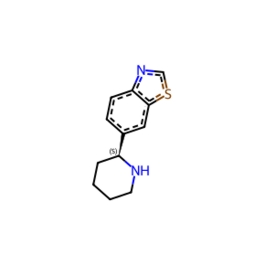 c1nc2ccc([C@@H]3CCCCN3)cc2s1